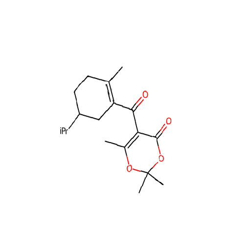 CC1=C(C(=O)C2=C(C)OC(C)(C)OC2=O)CC(C(C)C)CC1